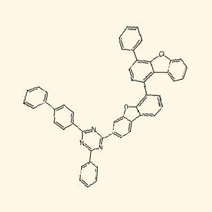 c1ccc(-c2ccc(-c3nc(-c4ccccc4)nc(-c4ccc5c(c4)oc4c(-c6ccc(-c7ccccc7)c7oc8ccccc8c67)cccc45)n3)cc2)cc1